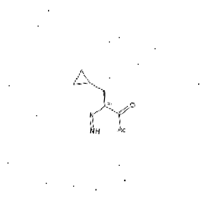 CC(=O)C(=O)[C@H](CC1CC1)N=N